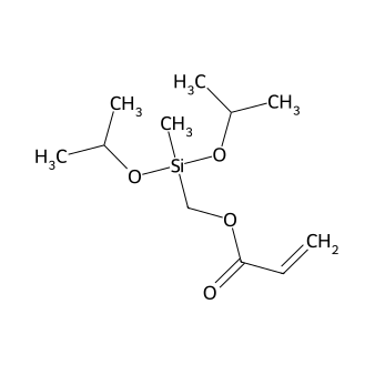 C=CC(=O)OC[Si](C)(OC(C)C)OC(C)C